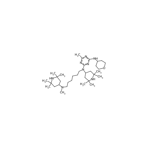 Cc1nc(NC2CCOCC2)nc(N(CCCCCCN(C)C2CC(C)(C)NC(C)(C)C2)C2CC(C)(C)NC(C)(C)C2)n1